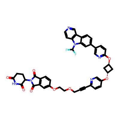 O=C1CCC(N2C(=O)c3ccc(OCCOCC#Cc4ccc(O[C@H]5C[C@H](Oc6ccc(-c7ccc8c9cnccc9n(C(F)F)c8c7)cn6)C5)cn4)cc3C2=O)C(=O)N1